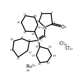 O=C1CCCN1C=P(C1CCCCC1)(C1CCCCC1)C1CCCCC1.[Cl-].[Cl-].[Ru+2]